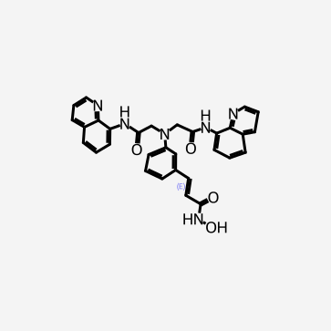 O=C(/C=C/c1cccc(N(CC(=O)Nc2cccc3cccnc23)CC(=O)Nc2cccc3cccnc23)c1)NO